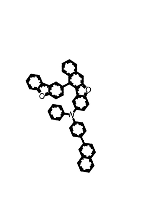 c1ccc(N(c2ccc(-c3ccc4ccccc4c3)cc2)c2ccc3oc4cc5ccccc5c(-c5ccc6oc7ccccc7c6c5)c4c3c2)cc1